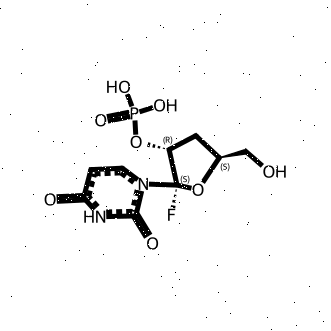 O=c1ccn([C@]2(F)O[C@H](CO)C[C@H]2OP(=O)(O)O)c(=O)[nH]1